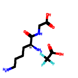 NCCCC[C@H](N)C(=O)NCC(=O)O.O=C(O)C(F)(F)F